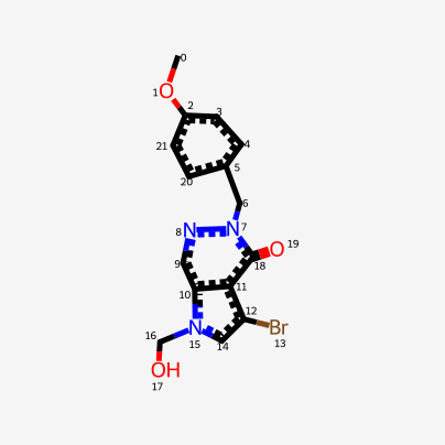 COc1ccc(Cn2ncc3c(c(Br)cn3CO)c2=O)cc1